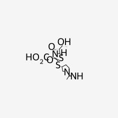 CC(=N)N1CC[C@@H](SC2=C(OC(=O)O)N3C(=O)[C@H]([C@@H](C)O)[C@H]3S2)C1